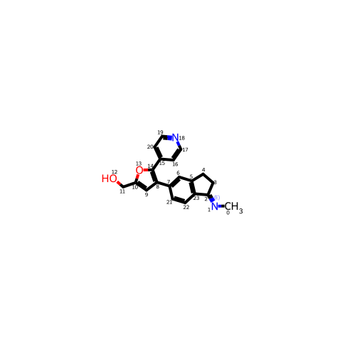 C/N=C1\CCc2cc(-c3cc(CO)oc3-c3ccncc3)ccc21